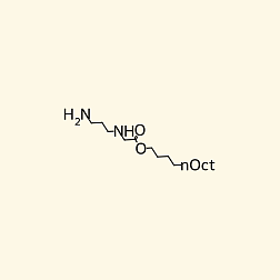 CCCCCCCCCCCCOC(=O)CNCCCN